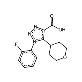 O=C(O)c1nnn(-c2ccccc2F)c1C1CCOCC1